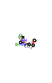 CC1(C(=O)Nc2ccc(Br)cc2C(=O)N[C@@H](Cc2ccc(-c3ccccc3Oc3ccccc3)cc2)C(=O)O)CC1(Cl)Cl